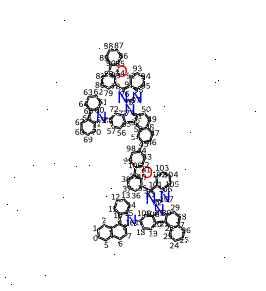 c1ccc2c(c1)ccc1c2c2ccccc2n1-c1ccc2c3c4ccccc4ccc3n(-c3nc(-c4cccc5c4oc4cc(-c6ccc7ccc8c(c7c6)c6ccc(-n7c9ccccc9c9ccccc97)cc6n8-c6nc(-c7cccc8c7oc7ccccc78)c7ccccc7n6)ccc45)c4ccccc4n3)c2c1